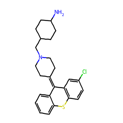 NC1CCC(CN2CCC(=C3c4ccccc4Sc4ccc(Cl)cc43)CC2)CC1